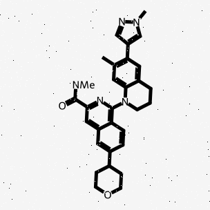 CNC(=O)c1cc2cc(C3CCOCC3)ccc2c(N2CCCc3cc(-c4cnn(C)c4)c(C)cc32)n1